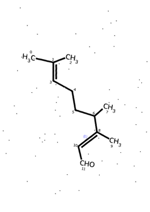 CC(C)=CCCC(C)/C(C)=C/C=O